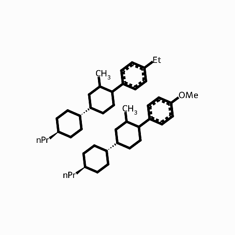 CCC[C@H]1CC[C@H](C2CCC(c3ccc(CC)cc3)C(C)C2)CC1.CCC[C@H]1CC[C@H](C2CCC(c3ccc(OC)cc3)C(C)C2)CC1